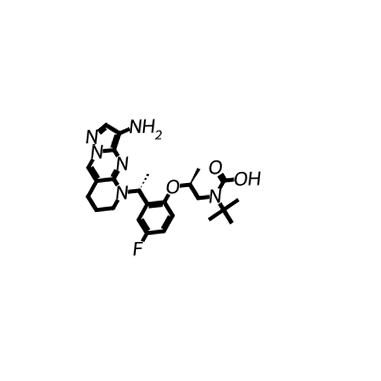 C[C@H](c1cc(F)ccc1O[C@@H](C)CN(C(=O)O)C(C)(C)C)N1CCCc2cn3ncc(N)c3nc21